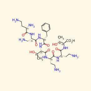 C[C@@H](O)[C@H](NC(=O)[C@H](CCN)NC(=O)[C@H](CCN)NC(=O)[C@@H](NC(=O)[C@@H](Cc1ccccc1)NC(=O)[C@H](CN)NC(=O)[C@@H](N)CCN)[C@@H](C)O)C(=O)O